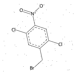 O=[N+]([O-])c1cc(Cl)c(CBr)cc1Cl